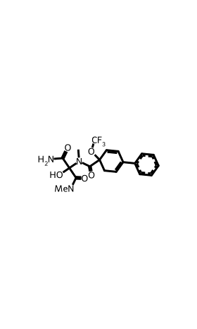 CNC(=O)C(O)(C(N)=O)N(C)C(=O)C1(OC(F)(F)F)C=CC(c2ccccc2)=CC1